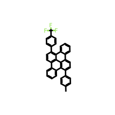 Cc1ccc(-c2ccc3c4ccccc4c4c(-c5ccc(C(F)(F)F)cc5)ccc5c6ccccc6c2c3c54)cc1